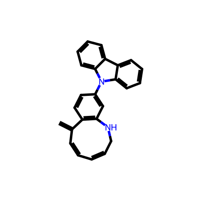 C=C1/C=C\C=C/CNc2cc(-n3c4ccccc4c4ccccc43)ccc21